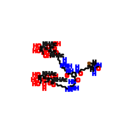 CC(=O)NC1[C@H](O[C@H]2C(CO)O[C@@H](OCCCCCCN3C=C(CNC(=O)c4cc(NC(=O)CCCC[C@H]5SC[C@H]6NC(=O)N[C@H]65)cc(C(=O)NCC5=CN(CCCCCO[C@@H]6OC(CO)[C@H](O[C@@H]7OC(CO)[C@H](O)[C@H](O)C7NC(C)=O)[C@H](O)C6NC(C)=O)NN5)c4)NN3)[C@@H](NC(C)=O)C2O)OC(CO)[C@H](O)[C@@H]1O